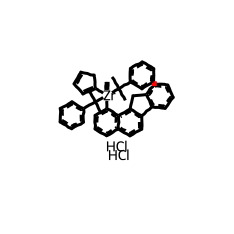 Cl.Cl.[CH2]=[Zr]([C]1=CC=CC1)([c]1cccc2ccc3c(c12)Cc1ccccc1-3)([C](C)(C)c1ccccc1)[C](C)(C)c1ccccc1